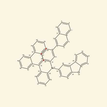 c1cc(-c2ccc3ccccc3c2)cc(N(c2ccc3oc4ccccc4c3c2)c2ccccc2-c2cc3ccccc3c3ccccc23)c1